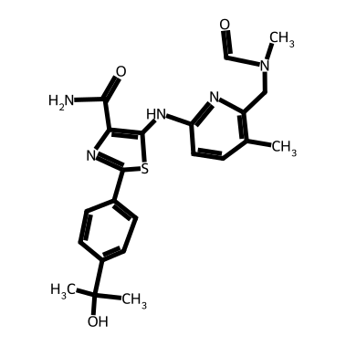 Cc1ccc(Nc2sc(-c3ccc(C(C)(C)O)cc3)nc2C(N)=O)nc1CN(C)C=O